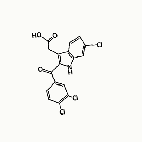 O=C(O)Cc1c(C(=O)c2ccc(Cl)c(Cl)c2)[nH]c2cc(Cl)ccc12